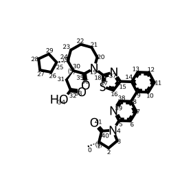 C[C@H]1CCN(c2ccc(-c3ccccc3-c3csc(N4CCCC[C@@H](C5CCCC5)[C@H](CC(=O)O)C4=O)n3)cn2)C1=O